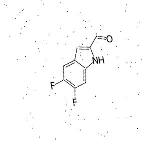 O=[C]c1cc2cc(F)c(F)cc2[nH]1